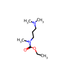 CCOC(=O)N(C)CCCN(C)C